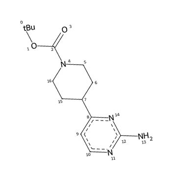 CC(C)(C)OC(=O)N1CCC(c2ccnc(N)n2)CC1